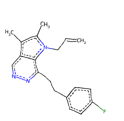 C=CCn1c(C)c(C)c2cnnc(CCc3ccc(F)cc3)c21